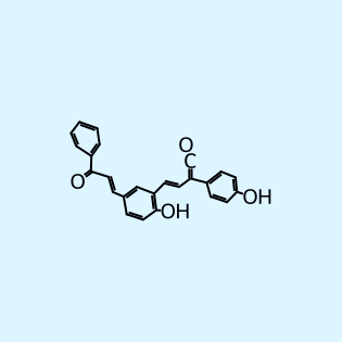 O=C=C(C=Cc1cc(C=CC(=O)c2ccccc2)ccc1O)c1ccc(O)cc1